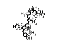 COC(C[C@@H](C)C/C(C)=C/[C@@H](C)C(=O)C[C@H](O)[C@@H](C)[C@H](OC)/C(C)=C/[C@@H]1CC[C@@H](O)C(OC)C1)[C@H]1O[C@](C)(O)[C@H](C)CC1OC